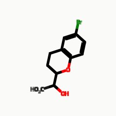 O=C(O)C(O)C1CCc2cc(Br)ccc2O1